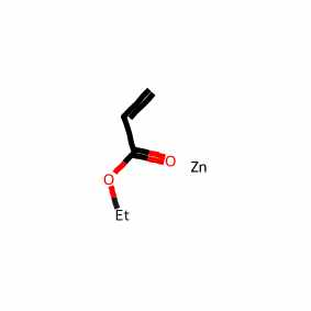 C=CC(=O)OCC.[Zn]